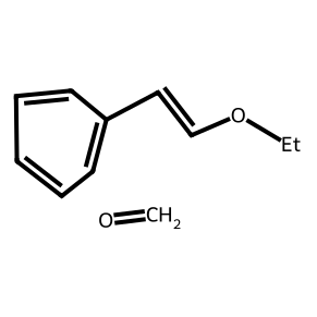 C=O.CCOC=Cc1ccccc1